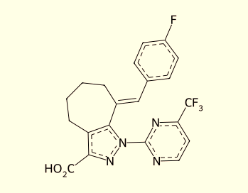 O=C(O)c1nn(-c2nccc(C(F)(F)F)n2)c2c1CCCCC2=Cc1ccc(F)cc1